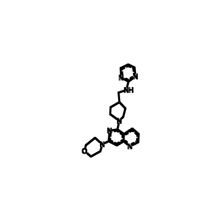 c1cnc(NCC2CCN(c3nc(N4CCOCC4)cc4ncccc34)CC2)nc1